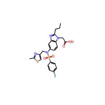 CCCc1nc2cc(N(Cc3csc(C)n3)S(=O)(=O)c3ccc(F)cc3)ccc2n1CC(=O)O